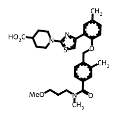 COCCCN(C)C(=O)c1ccc(COc2ccc(C)cc2-c2csc(N3CCC(C(=O)O)CC3)n2)c(C)c1